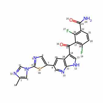 Cc1cn(-c2ncc(-c3cnc4[nH]cc(C(=O)c5c(F)ccc(C(N)=O)c5F)c4c3)s2)cn1